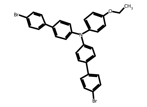 CCOc1ccc(N(c2ccc(-c3ccc(Br)cc3)cc2)c2ccc(-c3ccc(Br)cc3)cc2)cc1